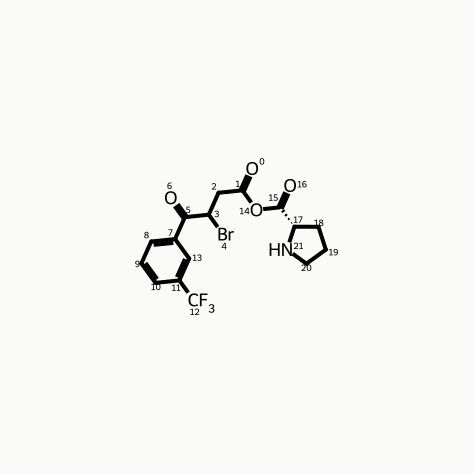 O=C(CC(Br)C(=O)c1cccc(C(F)(F)F)c1)OC(=O)[C@@H]1CCCN1